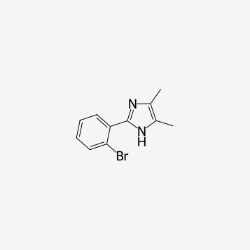 Cc1nc(-c2ccccc2Br)[nH]c1C